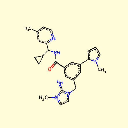 Cc1ccnc(C(NC(=O)c2cc(Cn3ccn(C)c3=N)cc(-c3cccn3C)c2)C2CC2)c1